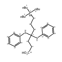 CCCC[PH](CCCC)(CCCC)CCCC(CCC(=O)O)(Sc1ccccc1)Sc1ccccc1